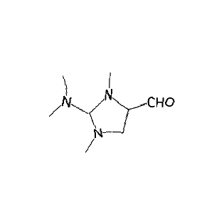 CN(C)C1N(C)CC(C=O)N1C